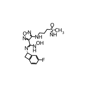 C[S@](=N)(=O)CCCNc1nonc1C(=N[C@H]1Cc2ccc(F)cc21)NO